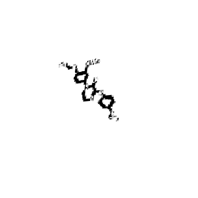 COc1cc(-n2ccnc(Sc3ccc(OC(F)(F)F)cc3)c2=O)ccc1OCC(C)(C)C